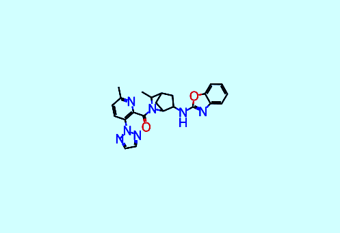 Cc1ccc(-n2nccn2)c(C(=O)N2C(C)C3CC(Nc4nc5ccccc5o4)C2C3)n1